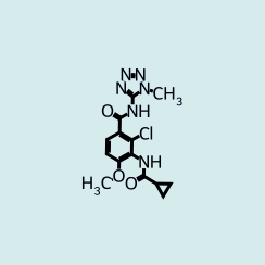 COc1ccc(C(=O)Nc2nnnn2C)c(Cl)c1NC(=O)C1CC1